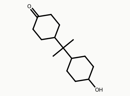 CC(C)(C1CCC(=O)CC1)C1CCC(O)CC1